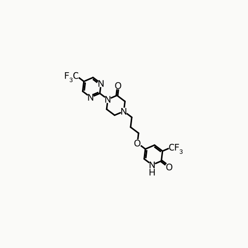 O=C1CN(CCCOc2c[nH]c(=O)c(C(F)(F)F)c2)CCN1c1ncc(C(F)(F)F)cn1